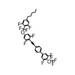 CCCCCc1cc(F)c(C(F)(F)Oc2cc(F)c(C#Cc3ccc(-c4cc(F)c(OC(F)(F)F)c(F)c4)cc3)c(F)c2)c(F)c1